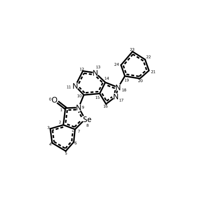 O=c1c2ccccc2[se]n1-c1ncnc2c1cnn2-c1ccccc1